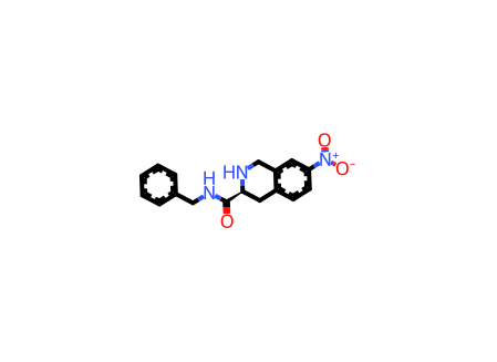 O=C(NCc1ccccc1)[C@@H]1Cc2ccc([N+](=O)[O-])cc2CN1